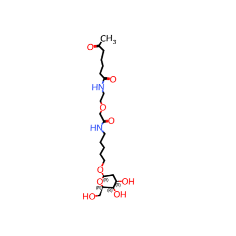 CC(=O)CCCCC(=O)NCCOCC(=O)NCCCCCO[C@H]1C[C@@H](O)[C@@H](O)[C@@H](CO)O1